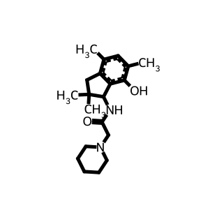 Cc1cc(C)c2c(c1O)C(NC(=O)CN1CCCCC1)C(C)(C)C2